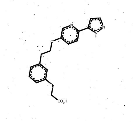 O=C(O)CCc1cccc(CCOc2ccc(-c3ccn[nH]3)nc2)c1